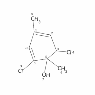 CC1=CC(Cl)C(C)(O)C(Cl)=C1